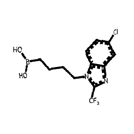 OB(O)CCCCn1c(C(F)(F)F)nc2cc(Cl)ccc21